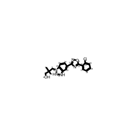 CC(C)(CO)CN1NNc2cc(-c3noc(-c4ccccc4Cl)n3)ccc21